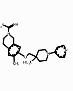 Cc1cc2c(cc1OCC1(C(=O)O)CCN(c3ccncc3)CC1)CN(C(=N)N)CC2